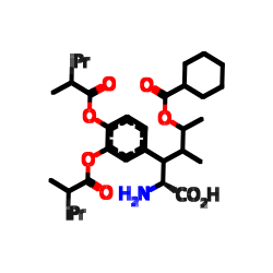 CC(C)C(C)C(=O)Oc1ccc(C(C(C)C(C)OC(=O)C2CCCCC2)[C@H](N)C(=O)O)cc1OC(=O)C(C)C(C)C